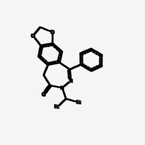 CCC(CC)N1N=C(c2ccccc2)c2cc3c(cc2CC1=O)OCO3